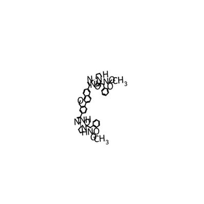 COC(=O)N[C@H](C(=O)N1CCC[C@H]1c1ncc(-c2ccc3c(c2)COc2c-3ccc3cc(-c4cnc([C@@H]5CCCN5C(=O)[C@@H](NC(=O)OC)c5ccccc5)[nH]4)ccc23)[nH]1)c1ccccc1